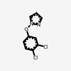 Clc1ccc(On2c[c]cn2)cc1Cl